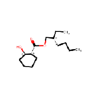 CCCC[C@@H](CC)COC(=O)[C@@H]1CCCC[C@H]1O